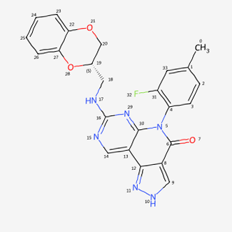 Cc1ccc(-n2c(=O)c3c[nH]nc3c3cnc(NC[C@H]4COc5ccccc5O4)nc32)c(F)c1